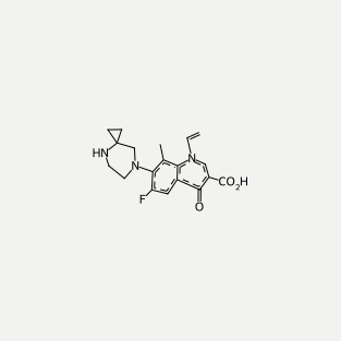 C=Cn1cc(C(=O)O)c(=O)c2cc(F)c(N3CCNC4(CC4)C3)c(C)c21